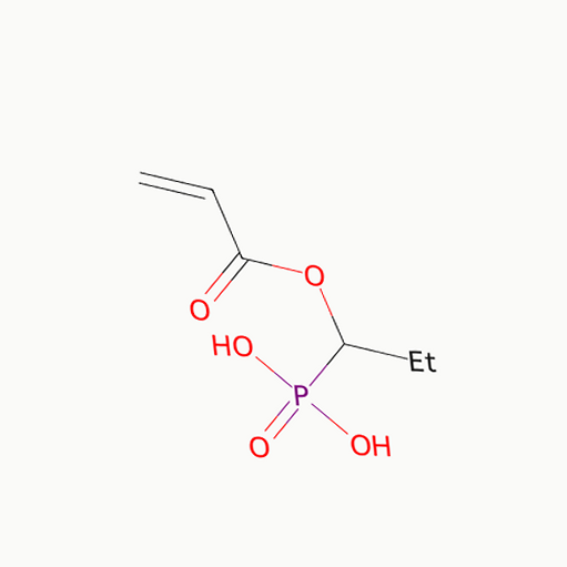 C=CC(=O)OC(CC)P(=O)(O)O